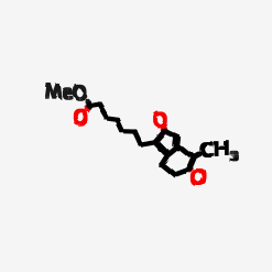 COC(=O)CCCCCCC1=C2CCC(=O)C(C)C2=CC1=O